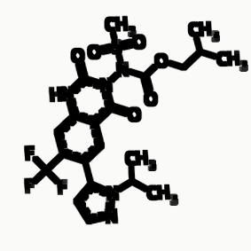 CC(C)COC(=O)N(n1c(=O)[nH]c2cc(C(F)(F)F)c(-c3ccnn3C(C)C)cc2c1=O)S(C)(=O)=O